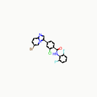 O=C(Nc1c(F)cccc1F)c1ccc(-c2cnc3ccc(Br)cn23)cc1Cl